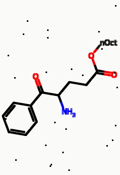 CCCCCCCCOC(=O)CCC(N)C(=O)c1ccccc1